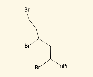 CCCC(Br)CC(Br)C[CH]Br